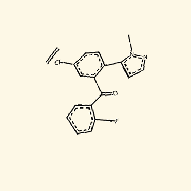 C=C.Cn1nccc1-c1ccc(Cl)cc1C(=O)c1ccccc1F